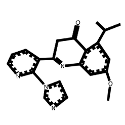 COc1cc2c(c(C(C)C)c1)C(=O)CC(c1cccnc1-n1ccnc1)=N2